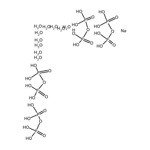 O.O.O.O.O.O.O.O.O.O.O=P(O)(O)OP(=O)(O)O.O=P(O)(O)OP(=O)(O)O.O=P(O)(O)OP(=O)(O)O.O=P(O)(O)OP(=O)(O)O.[Na]